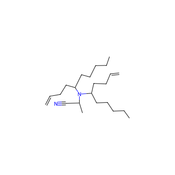 C=CCCC(CCCCC)N(C(C)C#N)C(CCC=C)CCCCC